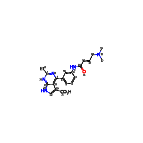 CCc1nc(-c2cccc(NC(=O)C=CCN(C)C)c2)c2c(C(=O)O)c[nH]c2n1